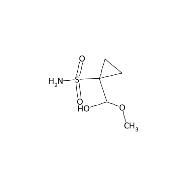 COC(O)C1(S(N)(=O)=O)CC1